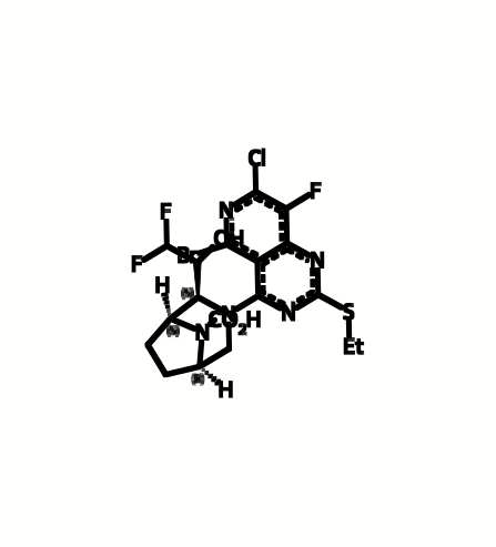 CCSc1nc(N2C[C@H]3CC[C@@H]([C@H]2C(O)C(F)F)N3C(=O)O)c2c(Br)nc(Cl)c(F)c2n1